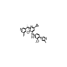 COc1cc(Nc2cc(C3CC3)nn([C@@H](C)c3cncc(F)c3)c2=O)ccc1-n1cnc(C)c1